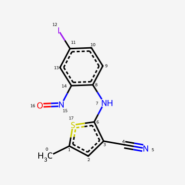 Cc1cc(C#N)c(Nc2ccc(I)cc2N=O)s1